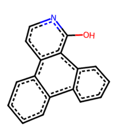 Oc1nccc2c3ccccc3c3ccccc3c12